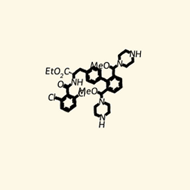 CCOC(=O)[C@H](Cc1ccc(-c2c(C(OC)N3CCNCC3)cccc2C(OC)N2CCNCC2)cc1)NC(=O)c1c(Cl)cccc1Cl